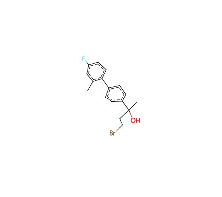 Cc1cc(F)ccc1-c1ccc(C(C)(O)CCBr)cc1